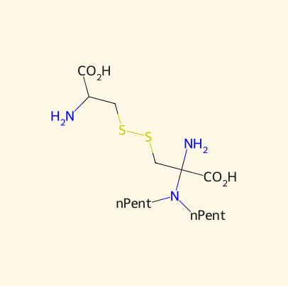 CCCCCN(CCCCC)C(N)(CSSCC(N)C(=O)O)C(=O)O